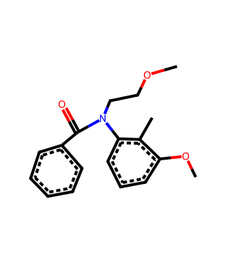 COCCN(C(=O)c1ccccc1)c1cccc(OC)c1C